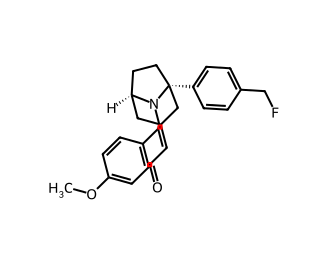 COc1ccc(CN2[C@@H]3CC[C@@]2(c2ccc(CF)cc2)CC(=CC=O)C3)cc1